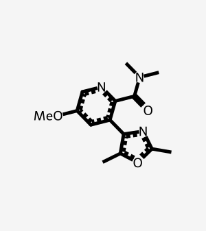 COc1cnc(C(=O)N(C)C)c(-c2nc(C)oc2C)c1